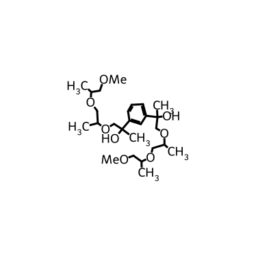 COCC(C)OCC(C)OCC(C)(O)c1cccc(C(C)(O)COC(C)COC(C)COC)c1